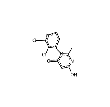 Cc1nc(O)cc(=O)n1-c1ccnc(Cl)c1Cl